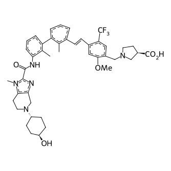 COc1cc(/C=C/c2cccc(-c3cccc(NC(=O)c4nc5c(n4C)CCN([C@H]4CC[C@H](O)CC4)C5)c3C)c2C)c(C(F)(F)F)cc1CN1CC[C@@H](C(=O)O)C1